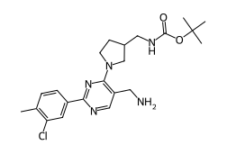 Cc1ccc(-c2ncc(CN)c(N3CCC(CNC(=O)OC(C)(C)C)C3)n2)cc1Cl